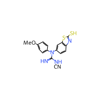 COc1ccc(N(C(=N)NC#N)c2ccc3nc(S)sc3c2)cc1